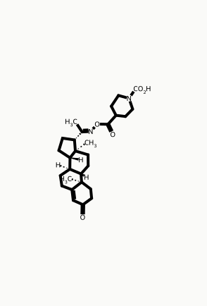 CC(=NOC(=O)C1CCN(C(=O)O)CC1)[C@H]1CC[C@H]2[C@@H]3CCC4=CC(=O)CC[C@]4(C)[C@H]3CC[C@]12C